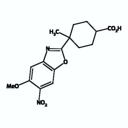 COc1cc2nc(C3(C)CCC(C(=O)O)CC3)oc2cc1[N+](=O)[O-]